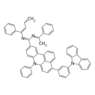 C=C/C=C(/N=C(\N=C(/C)c1ccccc1)c1ccc2c(c1)-c1cccc3c(-c4cccc(-n5c6ccccc6c6ccccc65)c4)ccc(c13)N2c1ccccc1)c1ccccc1